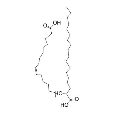 CCCCCC/C=C\CCCCCCCC(=O)O.CCCCCCCCCCCCCCCCC(O)C(=O)O